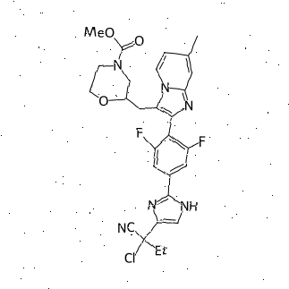 CCC(Cl)(C#N)c1c[nH]c(-c2cc(F)c(-c3nc4cc(C)ccn4c3CC3CN(C(=O)OC)CCO3)c(F)c2)n1